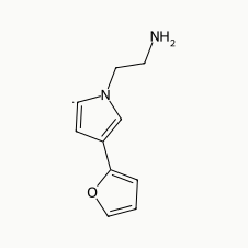 NCCn1[c]cc(-c2ccco2)c1